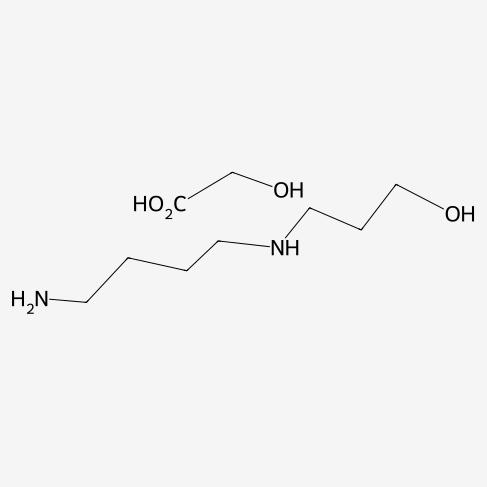 NCCCCNCCCO.O=C(O)CO